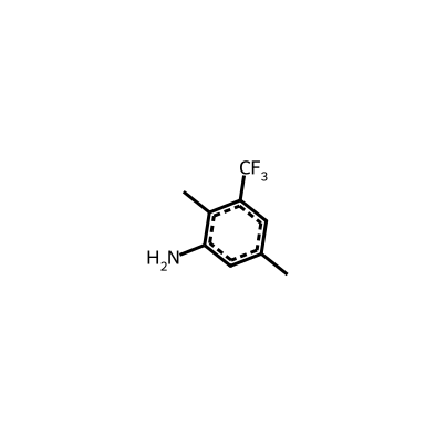 Cc1cc(N)c(C)c(C(F)(F)F)c1